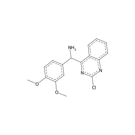 COc1ccc(C(N)c2nc(Cl)nc3ccccc23)cc1OC